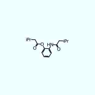 CC(C)CC(=O)Nc1ccccc1OC(=O)CC(C)C